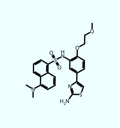 COCCOc1ccc(-c2csc(N)n2)cc1NS(=O)(=O)c1cccc2c(N(C)C)cccc12